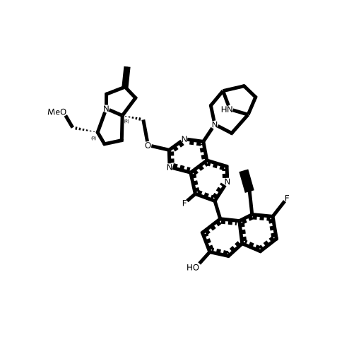 C#Cc1c(F)ccc2cc(O)cc(-c3ncc4c(N5CC6CCC(C5)N6)nc(OC[C@]56CC[C@H](COC)N5CC(=C)C6)nc4c3F)c12